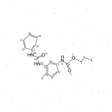 CCCOC(=O)Nc1ccc(C)c(NC(=O)Nc2ccccc2)c1